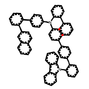 c1ccc(-c2ccccc2N(c2ccc(-c3ccc(-c4ccccc4-n4c5ccccc5c5ccccc54)cc3)cc2)c2ccc(-c3ccccc3-c3ccc4ccccc4c3)cc2)cc1